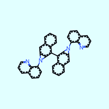 c1ccc2c(-c3c4c(cc5ccccc35)N4c3cccc4cccnc34)c3c(cc2c1)N3c1cccc2cccnc12